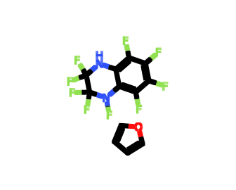 Fc1c(F)c(F)c2c(c1F)NC(F)(F)C(F)(F)N2F.c1ccoc1